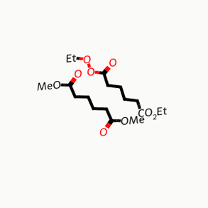 CCOOC(=O)CCCCC(=O)OCC.COC(=O)CCCCC(=O)OC